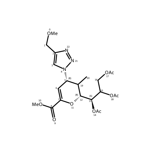 COCc1cn([C@H]2C=C(C(=O)OC)O[C@@H]([C@H](OC(C)=O)C(COC(C)=O)OC(C)=O)C2C)nn1